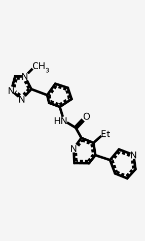 CCc1c(-c2cccnc2)ccnc1C(=O)Nc1cccc(-c2nncn2C)c1